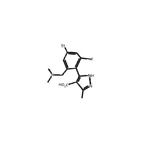 CCc1cc(F)c(-c2[nH]nc(C)c2C(=O)O)c(CN(C)C)c1